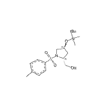 Cc1ccc(S(=O)(=O)N2C[C@@H](O[Si](C)(C)C(C)(C)C)C[C@@H]2CO)cc1